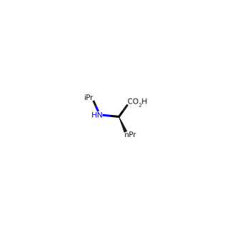 CCC[C@@H](NC(C)C)C(=O)O